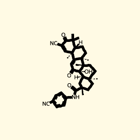 CC1(C)C(=O)C(C#N)=C[C@]2(C)C3=CC(=O)[C@]4(O)[C@@H]5C[C@@](C)(C(=O)Nc6ccc(C#N)cc6)CC[C@]5(C)CC[C@@]4(C)[C@]3(C)CC[C@@H]12